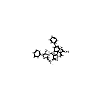 Cc1noc(C2(C3(C(=O)O)CC3)C=CC(c3ccccc3)=CC2)c1CN1C(=O)O[C@@H](c2ccccc2)[C@H]1C